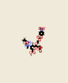 COC(=O)C1=C[C@H](N/C(C)=N\C(=O)OC(C)(C)C)[C@@H](C)[C@H]([C@H](OCCOC(=O)Oc2ccc([N+](=O)[O-])cc2)[C@H]2COC(=O)O2)O1